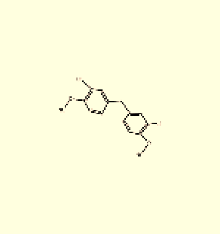 CCc1cc(Cc2ccc(OC#N)c(CC)c2)ccc1OC#N